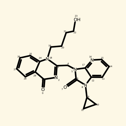 O=c1nc(Cn2c(=O)n(C3CC3)c3cccnc32)n(CCCCO)c2ccccc12